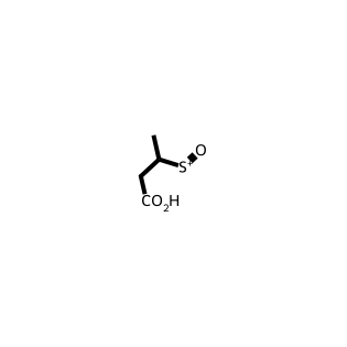 CC(CC(=O)O)[S+]=O